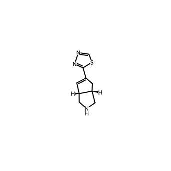 C1=C(c2nncs2)C[C@@H]2CNC[C@H]12